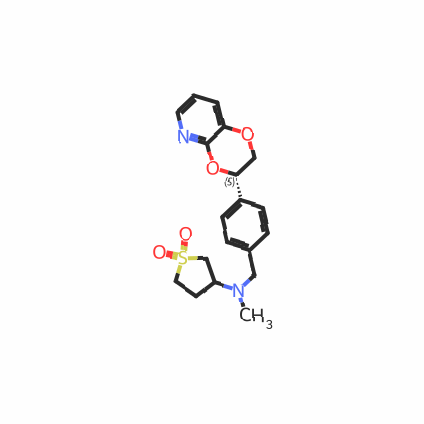 CN(Cc1ccc([C@H]2COc3cccnc3O2)cc1)C1CCS(=O)(=O)C1